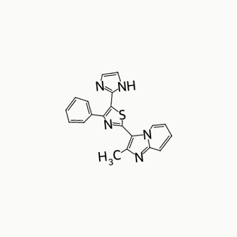 Cc1nc2ccccn2c1-c1nc(-c2ccccc2)c(-c2ncc[nH]2)s1